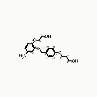 Nc1ccc(OCCO)c(NCc2ccc(OCCCO)cc2)c1